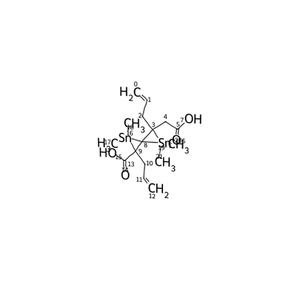 C=CC[C]1(CC(=O)O)[C]2([C](CC=C)(C(=O)O)[Sn]2([CH3])[CH3])[Sn]1([CH3])[CH3]